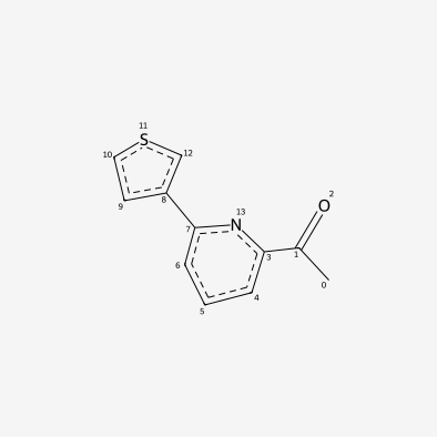 CC(=O)c1cccc(-c2ccsc2)n1